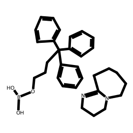 C1CCC2=NCCCN2CC1.OB(O)OCCCC(c1ccccc1)(c1ccccc1)c1ccccc1